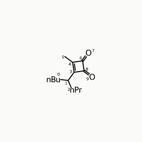 CCCCC(CCC)c1c(C)c(=O)c1=O